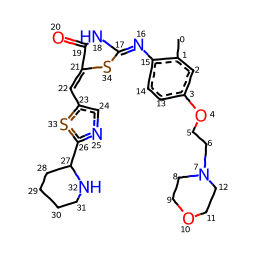 Cc1cc(OCCN2CCOCC2)ccc1/N=C1/NC(=O)/C(=C/c2cnc(C3CCCCN3)s2)S1